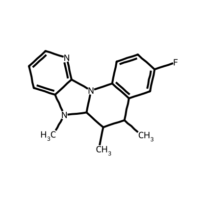 CC1c2cc(F)ccc2N2c3ncccc3N(C)C2C1C